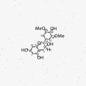 [2H]C1(O)C=c2c(O)cc(O)cc2=[O+]C1c1cc(OC)c(O)c(OC)c1